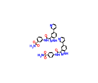 NS(=O)(=O)c1ccc(NC(=O)c2n[nH]c3ccc(-c4cccnc4)cc23)cc1.NS(=O)(=O)c1cccc(NC(=O)c2n[nH]c3ccc(-c4cccnc4)cc23)c1